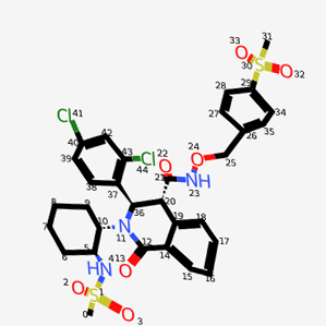 CS(=O)(=O)N[C@H]1CCCC[C@@H]1N1C(=O)c2ccccc2[C@@H](C(=O)NOCc2ccc(S(C)(=O)=O)cc2)[C@@H]1c1ccc(Cl)cc1Cl